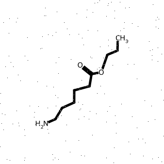 CCCOC(=O)CCCCCN